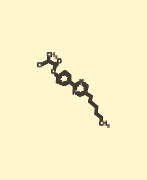 CCCCCCc1cnc(-c2ccc(OC(=O)C(C)Cl)cc2)nc1